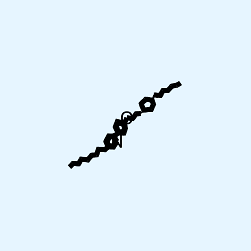 CCCCCCCCCc1ccc(-c2ccc(OCCC[C@H]3CC[C@H](CCCCCCC)CC3)cc2)nc1